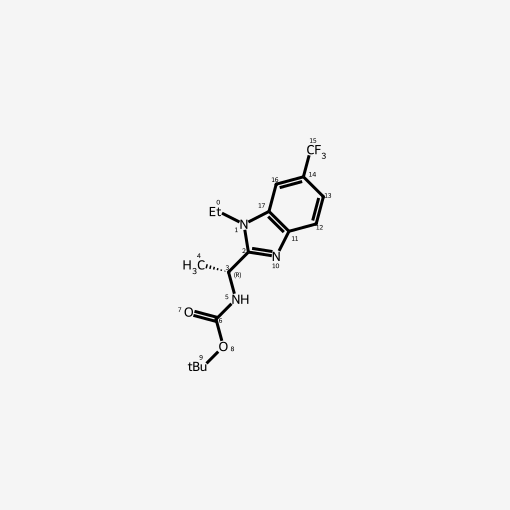 CCn1c([C@@H](C)NC(=O)OC(C)(C)C)nc2ccc(C(F)(F)F)cc21